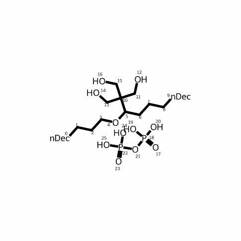 CCCCCCCCCCCCCOC(CCCCCCCCCCCCC)C(CO)(CO)CO.O=P(O)(O)OP(=O)(O)O